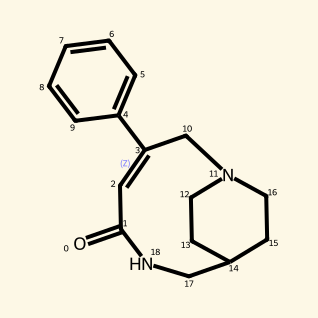 O=C1/C=C(/c2ccccc2)CN2CCC(CC2)CN1